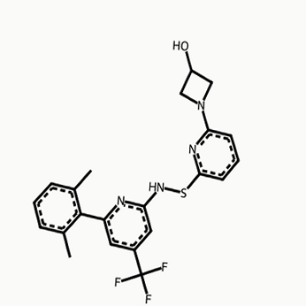 Cc1cccc(C)c1-c1cc(C(F)(F)F)cc(NSc2cccc(N3CC(O)C3)n2)n1